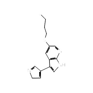 CCCCSc1cnc2[nH]cc(C3=CCN=C3)c2c1